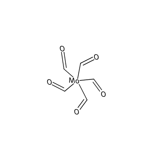 O=[CH][Mo]([CH]=O)([CH]=O)([CH]=O)[CH]=O